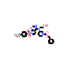 Cc1ccc(S(=O)(=O)n2ccc3c(N(CCO)[C@@H]4CCCN(C(=O)OCc5ccccc5)C4)ncnc32)cc1